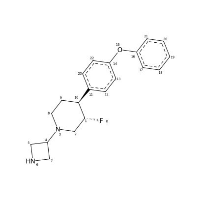 F[C@@H]1CN(C2CNC2)CC[C@H]1c1c[c]c(Oc2ccccc2)cc1